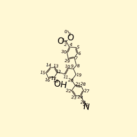 COC(=O)c1ccc(CC(C=Cc2ccccc2O)CCc2ccc(C#N)cc2)cc1